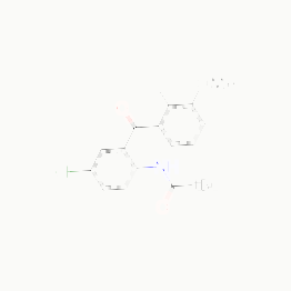 CCc1c(OC)cccc1C(=O)c1cc(Cl)ccc1NC(=O)C(C)(C)C